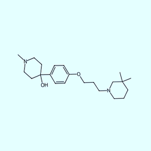 CN1CCC(O)(c2ccc(OCCCN3CCCC(C)(C)C3)cc2)CC1